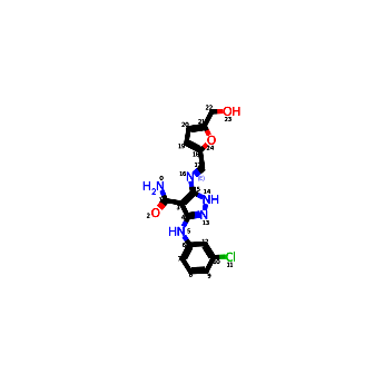 NC(=O)c1c(Nc2cccc(Cl)c2)n[nH]c1/N=C/c1ccc(CO)o1